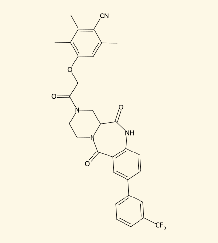 Cc1cc(OCC(=O)N2CCN3C(=O)c4cc(-c5cccc(C(F)(F)F)c5)ccc4NC(=O)C3C2)c(C)c(C)c1C#N